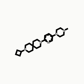 CN1CCN(c2ccc(N3CCC4(CC3)CCN(C3CCC3)CC4)nc2)CC1